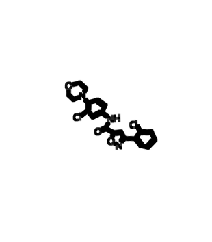 O=C(Nc1ccc(N2CCOCC2)c(Cl)c1)c1cc(-c2ccccc2Cl)no1